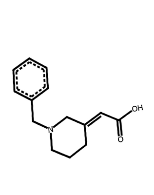 O=C(O)C=C1CCCN(Cc2ccccc2)C1